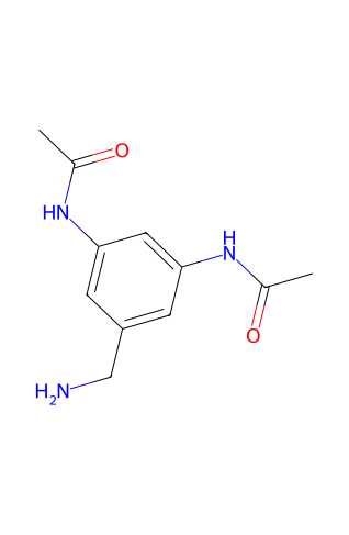 CC(=O)Nc1cc(CN)cc(NC(C)=O)c1